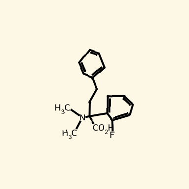 CN(C)C(CCc1ccccc1)(C(=O)O)c1ccccc1F